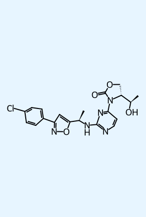 C[C@@H](Nc1nccc(N2C(=O)OC[C@@H]2[C@@H](C)O)n1)c1cc(-c2ccc(Cl)cc2)no1